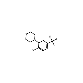 FC(F)(F)C1=CC=C(Br)C(N2CCSCC2)C1